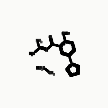 COc1ccc(-n2cccc2)cc1C(=O)N=C(N)N.CS(=O)(=O)O